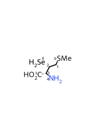 CSCC[C@H](N)C(=O)O.[SeH2]